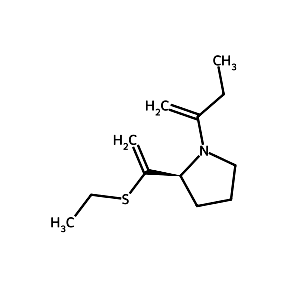 C=C(SCC)[C@@H]1CCCN1C(=C)CC